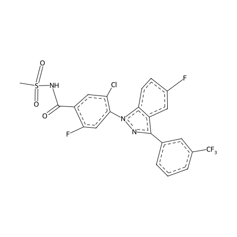 CS(=O)(=O)NC(=O)c1cc(Cl)c(-n2nc(-c3cccc(C(F)(F)F)c3)c3cc(F)ccc32)cc1F